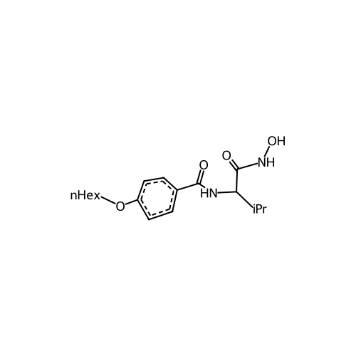 CCCCCCOc1ccc(C(=O)NC(C(=O)NO)C(C)C)cc1